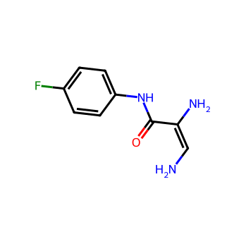 N/C=C(/N)C(=O)Nc1ccc(F)cc1